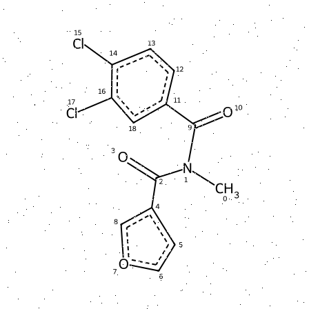 CN(C(=O)c1ccoc1)C(=O)c1ccc(Cl)c(Cl)c1